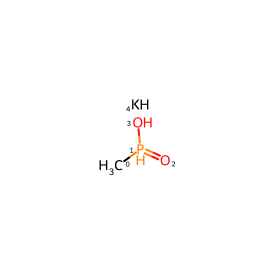 C[PH](=O)O.[KH]